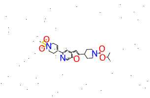 CC(C)OC(=O)N1CCC(c2cc3cc(C4=CCN(S(C)(=O)=O)CC4)ncc3o2)CC1